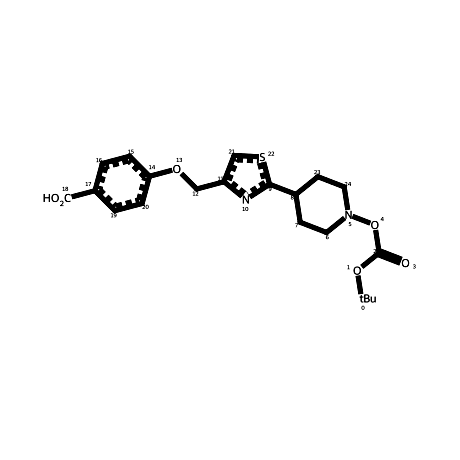 CC(C)(C)OC(=O)ON1CCC(c2nc(COc3ccc(C(=O)O)cc3)cs2)CC1